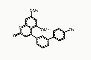 COc1cc(OC)c2c(-c3cccc(-c4ccc(C#N)cc4)c3)cc(=O)oc2c1